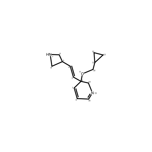 C1=CC(/C=C/C2CNC2)(OCC2CC2)CN=C1